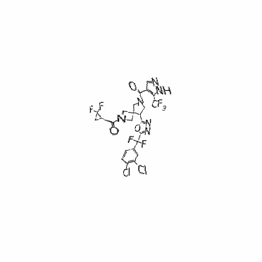 O=C(c1cn[nH]c1C(F)(F)F)N1CC(c2nnc(C(F)(F)c3ccc(Cl)c(Cl)c3)o2)C2(C1)CN(C(=O)[C@H]1CC1(F)F)C2